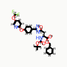 CC(C)(C)OC(=O)N[C@@H](Cc1nc(-c2ccc(Oc3ccc(OC(F)F)cn3)cc2)no1)C(=O)OCc1ccccc1